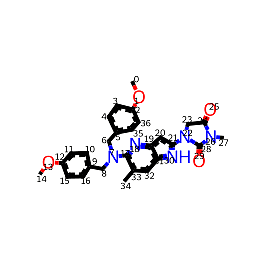 COc1ccc(CN(Cc2ccc(OC)cc2)c2nc3cc(N4CC(=O)N(C)C4=O)[nH]c3cc2C)cc1